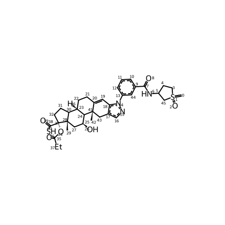 C=S1(=O)CCC(NC(=O)c2cccc(-n3ncc4c3C=C3CC[C@@H]5C([C@@H](O)C[C@@]6(C)C5CC[C@]6(OC(=O)CC)C(=O)S)[C@@]3(C)C4)c2)C1